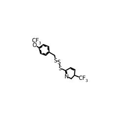 FC(F)(F)Oc1ccc(CSSSC2=NCC(C(F)(F)F)C=C2)cc1